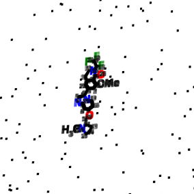 COc1cc(-c2cnc3cc(OC[C@H]4CCCN4C)ccn23)cc2c1C(=O)N(C(F)C(F)F)CC2